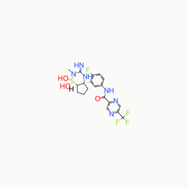 CN1C(=N)N[C@@]2(c3cc(NC(=O)c4cnc(C(F)(F)F)cn4)ccc3F)CCC[C@H]2S1(O)O